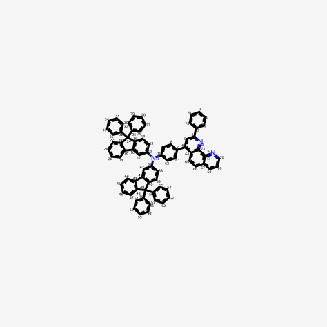 c1ccc(-c2cc(-c3ccc(N(c4ccc5c(c4)-c4ccccc4C5(c4ccccc4)c4ccccc4)c4ccc5c(c4)-c4ccccc4C5(c4ccccc4)c4ccccc4)cc3)c3ccc4cccnc4c3n2)cc1